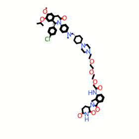 COc1cc2c(cc1OC(C)C)[C@H](c1ccc(Cl)cc1)N(c1ccc(N(C)C[C@H]3CC[C@H](N4CCN(CCOCCOCCOCC(=O)Nc5cccc6c5CN(C5CCC(=O)NC5=O)C6=O)CC4)CC3)cc1)C(=O)C2